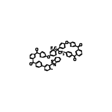 Cc1ccc(C(=O)c2cccc(C(=O)c3ccc(Oc4ccc(C(c5ccc(Oc6ccc(C(=O)c7cccc(C(=O)c8ccc(-c9ccc(C)c(-c%10nc%11ccccc%11s%10)c9)cc8)c7)cc6)cc5)(C(F)(F)F)C(F)(F)F)cc4)cc3)c2)cc1